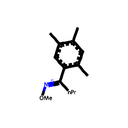 CCC/C(=N\OC)c1cc(C)c(C)cc1C